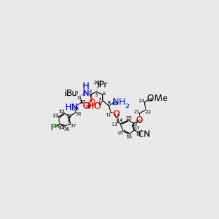 CC[C@H](C)[C@H](NC(=O)[C@@H](C[C@H](O)[C@@H](N)COCc1ccc(C#N)c(OCCCOC)c1)C(C)C)C(=O)NCc1ccc(F)cc1